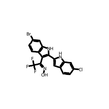 O/N=C(/c1c(-c2cc3ccc(Cl)cc3[nH]2)[nH]c2cc(Br)ccc12)C(F)(F)F